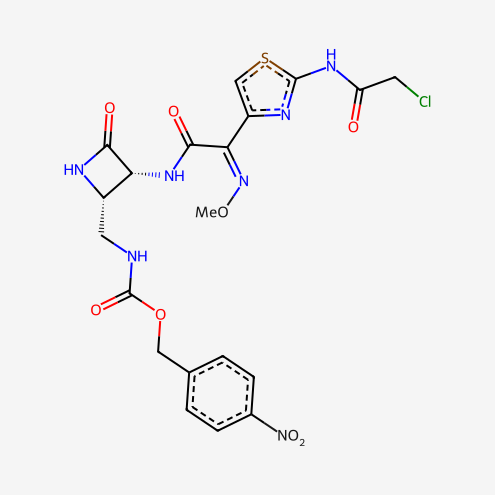 CON=C(C(=O)N[C@H]1C(=O)N[C@H]1CNC(=O)OCc1ccc([N+](=O)[O-])cc1)c1csc(NC(=O)CCl)n1